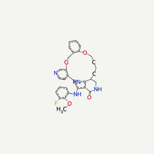 COc1c(F)cccc1Nc1c2[nH]c3c1C(=O)NCC3CCCCOc1ccccc1COc1cnccc1-2